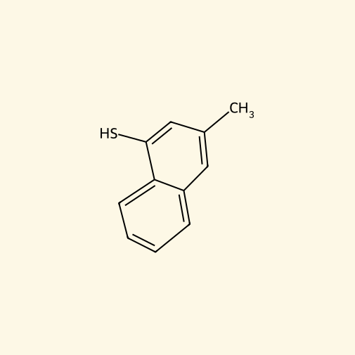 Cc1cc(S)c2ccccc2c1